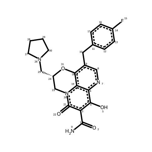 NC(=O)c1c(O)c2ncc(Cc3ccc(F)cc3)c3c2n(c1=O)C[C@H](CN1CCCC1)O3